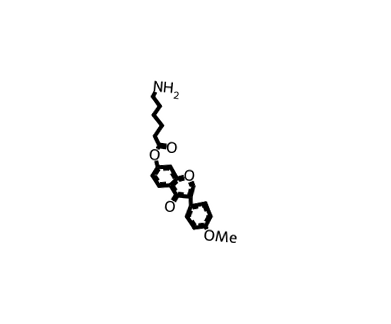 COc1ccc(-c2coc3cc(OC(=O)CCCCCN)ccc3c2=O)cc1